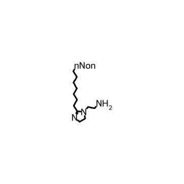 CCCCCCCCCCCCCCCCC1=NCCN1CCN